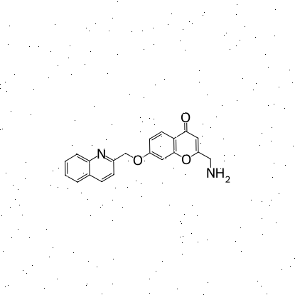 NCc1cc(=O)c2ccc(OCc3ccc4ccccc4n3)cc2o1